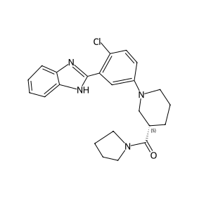 O=C([C@H]1CCCN(c2ccc(Cl)c(-c3nc4ccccc4[nH]3)c2)C1)N1CCCC1